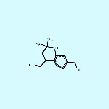 CC1(C)CC(CS(=O)(=O)O)c2ccc(CO)cc2N1